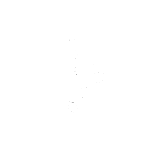 COc1ccc(F)c2c1cc(C#N)n2CCNc1cc(-c2ccc(-c3cnn[nH]3)cc2)ncn1